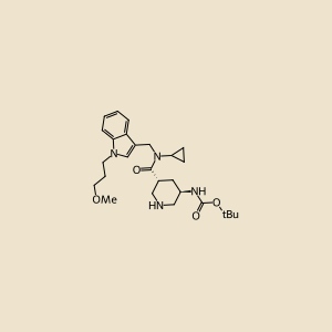 COCCCn1cc(CN(C(=O)[C@H]2CNC[C@H](NC(=O)OC(C)(C)C)C2)C2CC2)c2ccccc21